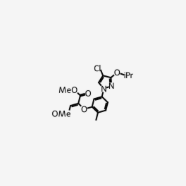 CO/C=C(\Oc1cc(-n2cc(Cl)c(OC(C)C)n2)ccc1C)C(=O)OC